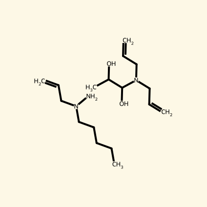 C=CCN(CC=C)C(O)C(C)O.C=CCN(N)CCCCC